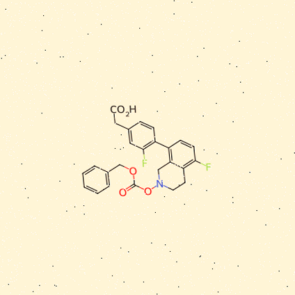 O=C(O)Cc1ccc(-c2ccc(F)c3c2CN(OC(=O)OCc2ccccc2)CC3)c(F)c1